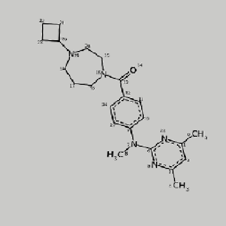 Cc1cc(C)nc(N(C)c2ccc(C(=O)N3CCCN(C4CCC4)CC3)cc2)n1